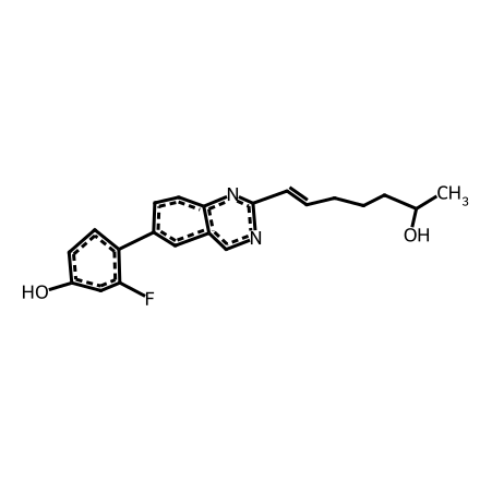 CC(O)CCCC=Cc1ncc2cc(-c3ccc(O)cc3F)ccc2n1